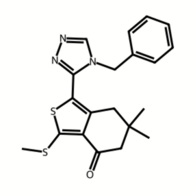 CSc1sc(-c2nncn2Cc2ccccc2)c2c1C(=O)CC(C)(C)C2